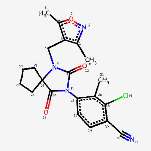 Cc1noc(C)c1CN1C(=O)N(c2ccc(C#N)c(Cl)c2C)C(=O)C12CCCC2